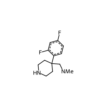 CNCC1(c2ccc(F)cc2F)CCNCC1